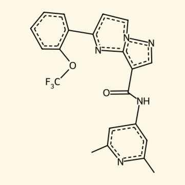 Cc1cc(NC(=O)c2cnn3ccc(-c4ccccc4OC(F)(F)F)nc23)cc(C)n1